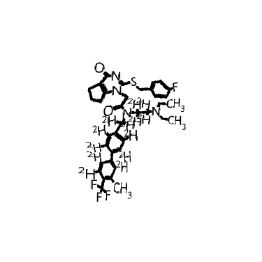 [2H]c1c([2H])c(C([2H])([2H])N(C(=O)Cn2c(SCc3ccc(F)cc3)nc(=O)c3c2CCC3)C([2H])([2H])C([2H])([2H])N(CC)CC)c([2H])c([2H])c1-c1c([2H])c([2H])c(C(F)(F)F)c(C)c1[2H]